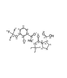 CC(C)(C)[C@H](NC(=O)c1cccc(OC(F)(F)F)c1Cl)C(=O)N1CCC[C@H]1C(=O)O